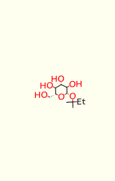 CCC(C)(C)O[C@@H]1O[C@H](CO)[C@@H](O)[C@H](O)[C@H]1O